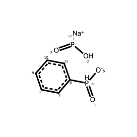 O=PO.O=[PH]([O-])c1ccccc1.[Na+]